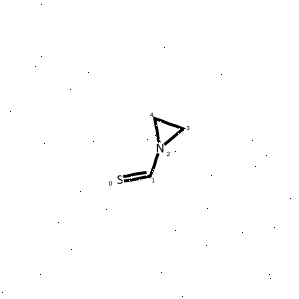 S=CN1CC1